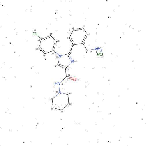 Cl.NCc1ccccc1-c1nc(C(=O)NN2CCCCC2)cn1-c1ccc(Cl)cc1